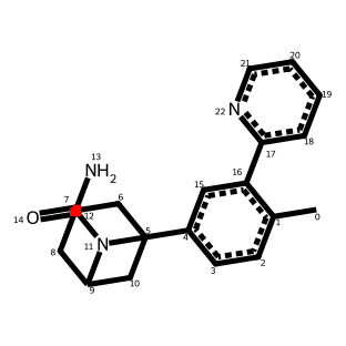 Cc1ccc(C23CCCC(C2)N3C(N)=O)cc1-c1ccccn1